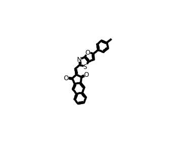 Cc1ccc(-c2cc3sc(C=C4C(=O)c5cc6ccccc6cc5C4=O)nc3o2)cc1